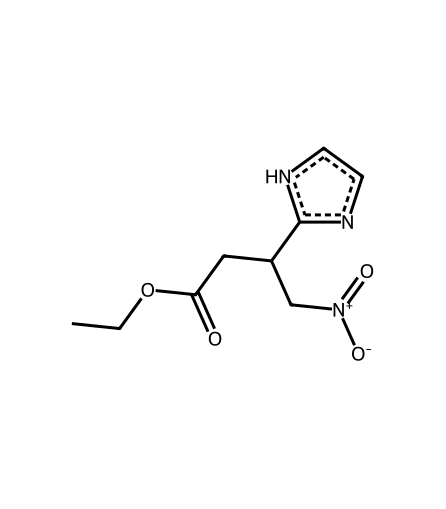 CCOC(=O)CC(C[N+](=O)[O-])c1ncc[nH]1